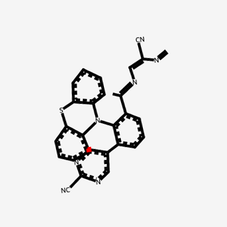 C=N/C(C#N)=C\N=C(/C)c1cccc(-c2cnc(C#N)nc2)c1N1c2ccccc2Sc2ccccc21